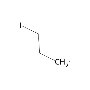 [CH2]CCI